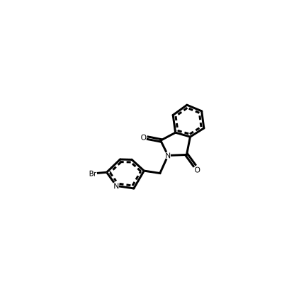 O=C1c2ccccc2C(=O)N1Cc1ccc(Br)nc1